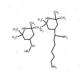 CC1(C)CC(C(N)CCCCCN)CC(C)(C)N1.CCCCNC1CC(C)(C)NC(C)(C)C1